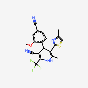 COc1cc(C#N)ccc1C1C(C#N)=C(C(F)(F)F)NC(C)=C1c1nc(C)cs1